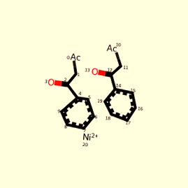 CC(=O)CC(=O)c1ccccc1.CC(=O)CC(=O)c1ccccc1.[Ni+2]